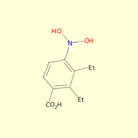 CCc1c(C(=O)O)ccc(N(O)O)c1CC